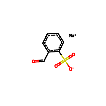 O=Cc1ccccc1S(=O)(=O)[O-].[Na+]